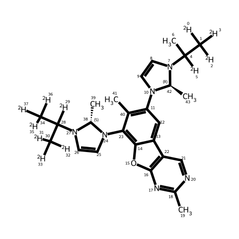 [2H]C([2H])([2H])C([2H])(C)N1C=CN(c2cc3c(oc4nc(C)ncc43)c(N3C=CN(C([2H])(C([2H])([2H])[2H])C([2H])([2H])[2H])[C@@H]3C)c2C)[C@@H]1C